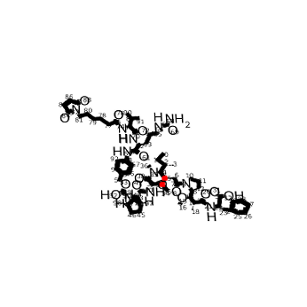 CC[C@H](C)[C@@H]([C@@H](CC(=O)N1CCC[C@H]1[C@H](OC)[C@@H](C)C(=O)N[C@@H](Cc1ccccc1)C(=O)O)OC)N(C)C(=O)[C@@H](NC(=O)[C@@H]1[C@H]2CC[C@@H]([C@H]2C)N1C(O)OCc1ccc(NC(=O)[C@H](CCCNC(N)=O)NC(=O)[C@@H](NC(=O)CCCCCN2C(=O)C=CC2=O)C(C)C)cc1)C(C)C